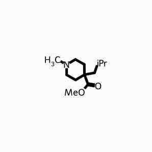 COC(=O)C1(CC(C)C)CCN(C)CC1